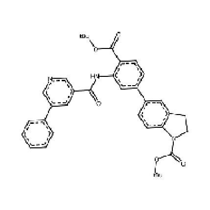 CC(C)(C)OC(=O)c1ccc(-c2ccc3c(c2)CCN3C(=O)OC(C)(C)C)cc1NC(=O)c1cncc(-c2ccccc2)c1